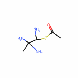 CC(=O)SC(N)C(C)(N)N